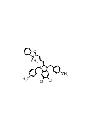 Cc1ccc(CN2C(=CC=Cc3oc4ccccc4[n+]3C)N(Cc3ccc(C)cc3)c3cc(Cl)c(Cl)cc32)cc1